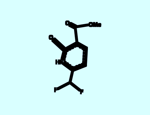 COC(=O)c1ccc(C(F)F)[nH]c1=O